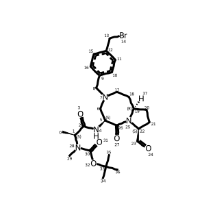 C[C@@H](C(=O)N[C@H]1CN(Cc2ccc(CBr)cc2)CC[C@H]2CC[C@@H](C=O)N2C1=O)N(C)C(=O)OC(C)(C)C